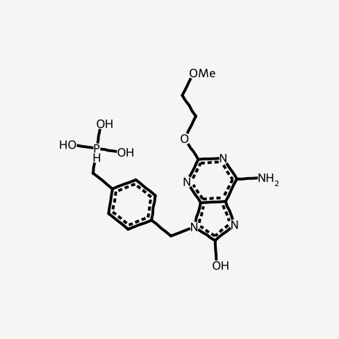 COCCOc1nc(N)c2nc(O)n(Cc3ccc(C[PH](O)(O)O)cc3)c2n1